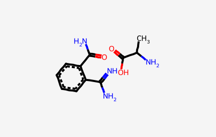 CC(N)C(=O)O.N=C(N)c1ccccc1C(N)=O